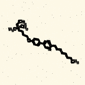 CCCCCCCCc1ncc(-c2ccc(OCCCC[Si](C)(C)CC)cc2)cn1